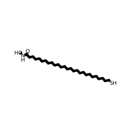 O=C(CCCCCCCCCCCCCCCCCCCCCCCCCCS)NO